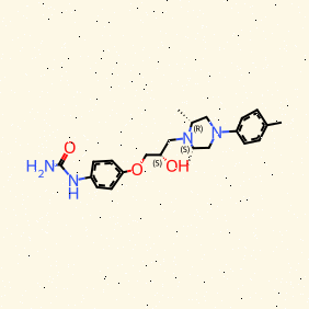 Cc1ccc(N2C[C@@H](C)N(C[C@H](O)COc3ccc(NC(N)=O)cc3)[C@@H](C)C2)cc1